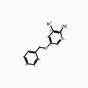 [C-]#[N+]c1ncc(OCc2ccccc2)cc1Br